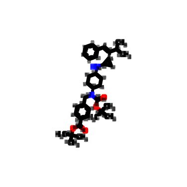 CC(C)C(=Cc1ccccc1)[C@@H]1C[C@H]1N[C@H]1CC[C@@H](N(Cc2ccc(C(=O)OC(C)(C)C)cc2)C(=O)OC(C)(C)C)CC1